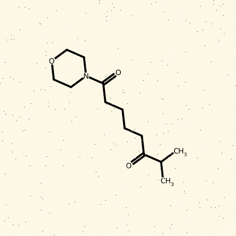 CC(C)C(=O)CCCCC(=O)N1CCOCC1